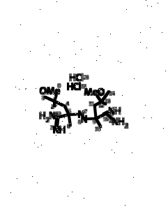 COC(C)(C)CC(C)(N=NC(C)(CC(C)(C)OC)C(=N)N)C(=N)N.Cl.Cl